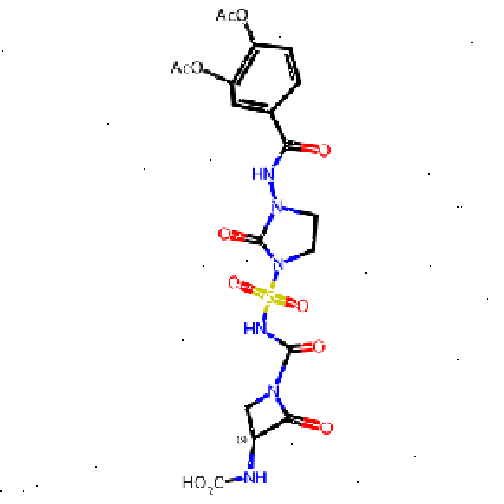 CC(=O)Oc1ccc(C(=O)NN2CCN(S(=O)(=O)NC(=O)N3C[C@H](NC(=O)O)C3=O)C2=O)cc1OC(C)=O